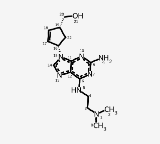 CN(C)CCNc1nc(N)nc2c1ncn2[C@@H]1C=C[C@H](CO)C1